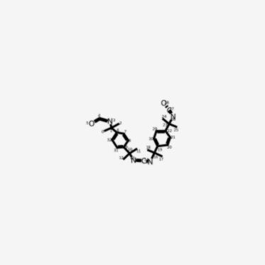 CC(C)(N=C=O)c1ccc(C(C)(C)N=C=NC(C)(C)c2ccc(C(C)(C)N=C=O)cc2)cc1